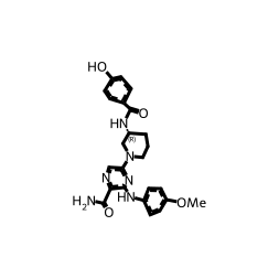 COc1ccc(Nc2nc(N3CCC[C@@H](NC(=O)c4ccc(O)cc4)C3)cnc2C(N)=O)cc1